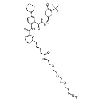 [N-]=[N+]=NCCOCCOCCOCCNC(=O)CCSCc1cccc(C(=O)Nc2ccc(N3CCCCC3)cc2C(=O)N/N=C\c2ccc(Cl)c(C(F)(F)F)c2)c1